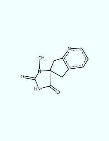 CN1C(=O)NC(=O)C12Cc1cccnc1C2